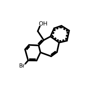 OCC1=C2C=CC(Br)=CC2C=Cc2ccccc21